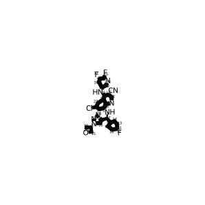 N#Cc1cnc2c(N[C@@H](c3ccc(F)cc3)c3cn(C4COC4)nn3)cc(Cl)cc2c1Nc1cnc(F)c(F)c1